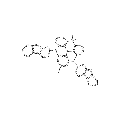 Cc1cc2c3c(c1)N(c1ccc4c(c1)sc1ccccc14)c1cccc4c1B3c1c(cccc1[Si]4(C)C)N2c1ccc2c(c1)sc1ccccc12